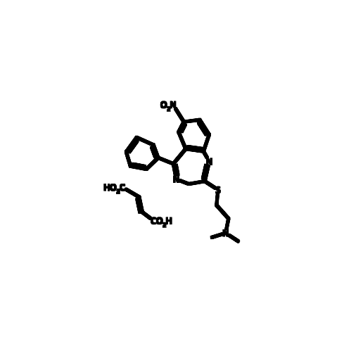 CN(C)CCSC1=Nc2ccc([N+](=O)[O-])cc2C(c2ccccc2)=NC1.O=C(O)C=CC(=O)O